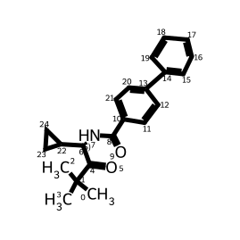 CC(C)(C)C(=O)[C@@H](NC(=O)c1ccc(-c2ccccc2)cc1)C1CC1